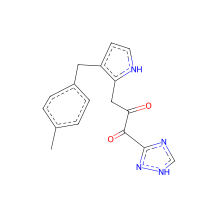 Cc1ccc(Cc2cc[nH]c2CC(=O)C(=O)c2nc[nH]n2)cc1